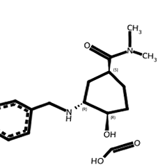 CN(C)C(=O)[C@H]1CC[C@@H](O)[C@H](NCc2ccccc2)C1.O=CO